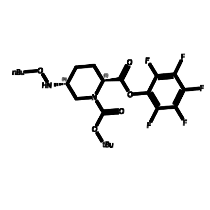 CCCCON[C@@H]1CC[C@@H](C(=O)Oc2c(F)c(F)c(F)c(F)c2F)N(C(=O)OC(C)(C)C)C1